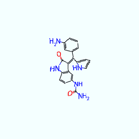 NC(=O)Nc1ccc2c(c1)C(=C(c1cccc(N)c1)c1ccc[nH]1)C(=O)N2